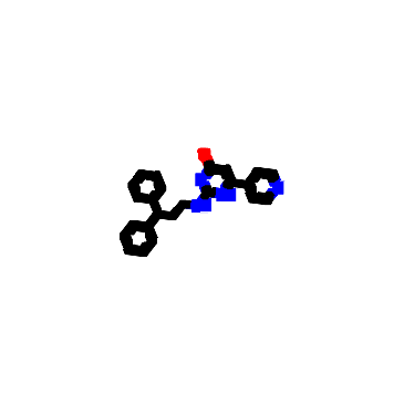 O=c1cc(-c2ccncc2)[nH]c(NCCC(c2ccccc2)c2ccccc2)n1